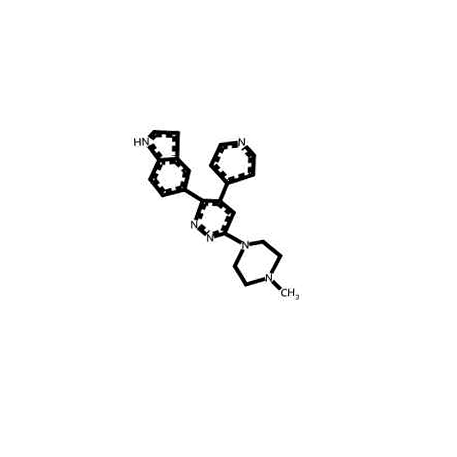 CN1CCN(c2cc(-c3ccncc3)c(-c3ccc4[nH]ccc4c3)nn2)CC1